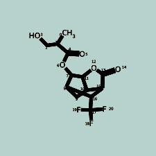 CC(CO)C(=O)OC1C2CC3C1OC(=O)C3C2C(F)(F)F